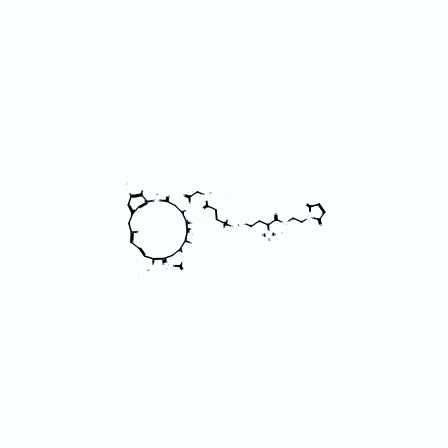 COc1cc2cc(c1Cl)N(C)C(=O)CC(OC(=O)[C@H](C)N(C)C(=O)CCC(C)(C)SSCCC(C(=O)NCCN1C(=O)C=CC1=O)S(=O)(=O)O)[C@@]1(C)O[C@@H]1C(C)C1CC(O)(NC(=O)O1)C(OC)/C=C/C=C(\C)C2